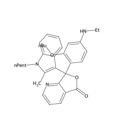 CCCCCn1c(C)c(C2(c3ccc(NCC)cc3OCCCC)OC(=O)c3cccnc32)c2ccccc21